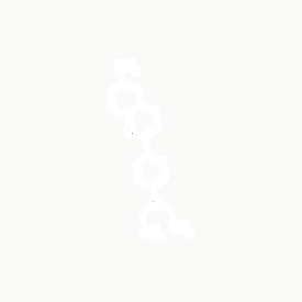 CCN(CC)c1ccc(-c2ccc3cc(C)ccc3n2)cc1